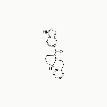 O=C(c1ccc2[nH]ccc2c1)N1CCC[C@@H]2c3ccccc3CC[C@@H]21